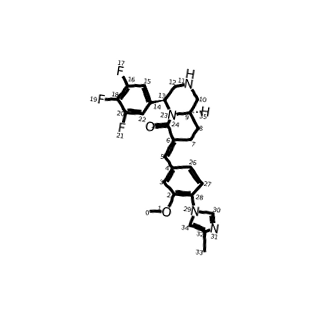 COc1cc(/C=C2\CC[C@@H]3CNC[C@H](c4cc(F)c(F)c(F)c4)N3C2=O)ccc1-n1cnc(C)c1